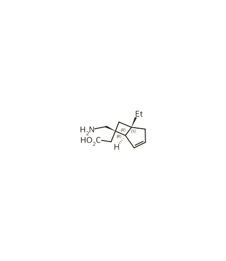 CC[C@@]12CC=C[C@H]1[C@](CN)(CC(=O)O)C2